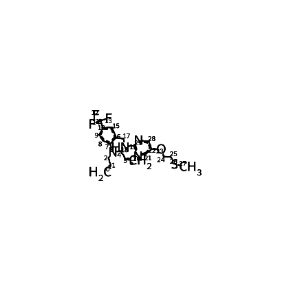 C=CCN(CC=C)c1ccc(C(F)(F)F)cc1CNc1ncc(OCCSC)cn1